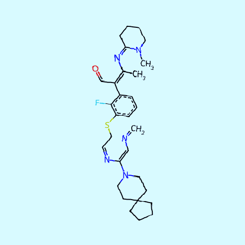 C=N/C=C(\N=C/CSc1cccc(/C(C=O)=C(C)/N=C2/CCCCN2C)c1F)N1CCC2(CCCC2)CC1